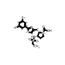 CCS(=O)(=O)N[C@H]1CCN(C(=O)O)[C@H]1Cc1csc(-c2cc(F)cc(F)c2)n1